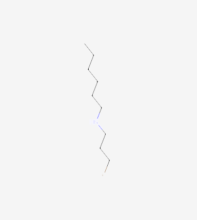 Br.CCCCCCNCCCBr